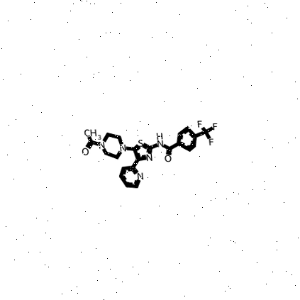 CC(=O)N1CCN(c2sc(NC(=O)c3ccc(C(F)(F)F)cc3)nc2-c2ccccn2)CC1